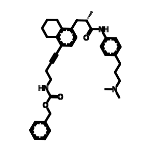 C[C@@H](Cc1ccc(C#CCCNC(=O)OCc2ccccc2)c2c1CCCC2)C(=O)Nc1ccc(CCCN(C)C)cc1